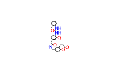 COc1cc(CC(=O)N(C)Cc2ccc3c(c2)CCC(=O)O3)ccc1NC(=O)Nc1ccccc1C